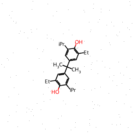 CCc1cc(C(C)(C)c2cc(CC)c(O)c(C(C)C)c2)cc(C(C)C)c1O